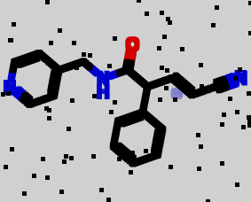 N#C/C=C/C(C(=O)NCc1ccncc1)c1ccccc1